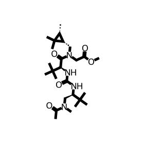 COC(=O)CN(C[C@H]1[C@@H](C)C1(C)C)C(=O)[C@@H](NC(=O)N[C@H](CN(C)C(C)=O)C(C)(C)C)C(C)(C)C